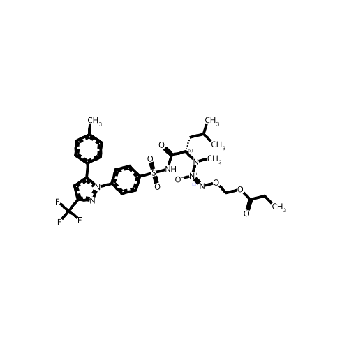 CCC(=O)OCO/N=[N+](/[O-])N(C)[C@@H](CC(C)C)C(=O)NS(=O)(=O)c1ccc(-n2nc(C(F)(F)F)cc2-c2ccc(C)cc2)cc1